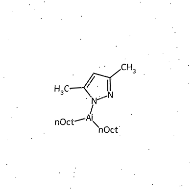 CCCCCCC[CH2][Al]([CH2]CCCCCCC)[n]1nc(C)cc1C